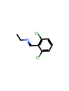 CCN=Cc1c(Cl)cccc1Cl